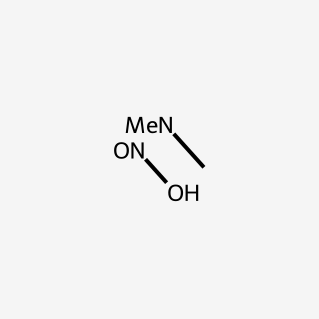 CNC.O=NO